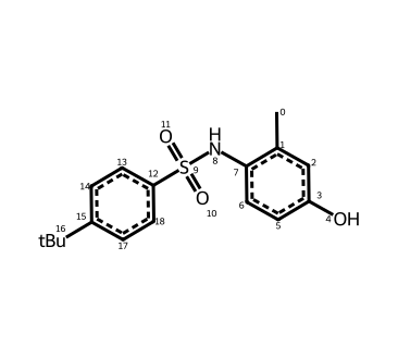 Cc1cc(O)ccc1NS(=O)(=O)c1ccc(C(C)(C)C)cc1